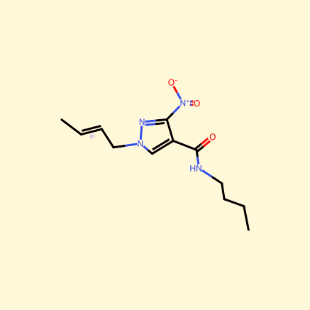 C/C=C/Cn1cc(C(=O)NCCCC)c([N+](=O)[O-])n1